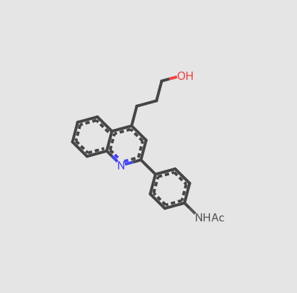 CC(=O)Nc1ccc(-c2cc(CCCO)c3ccccc3n2)cc1